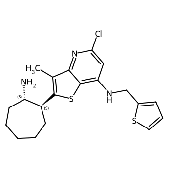 Cc1c([C@H]2CCCCC[C@@H]2N)sc2c(NCc3cccs3)cc(Cl)nc12